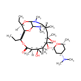 CC/C1=C2\OC(N(C)C)C(O[C@@H]2CC)N(C)C[C@H](C)C[C@@](C)(O)[C@H](O[C@H]2C[C@@H](N(C)C)C[C@@H](C)O2)[C@@H](C)[C@H](O)[C@@H](C)C(=O)O1